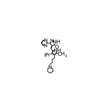 Cc1[nH]c(C=C2C(=O)NN=C2c2ncccn2)c(C(C)C)c1CCCCN1CCCCC1